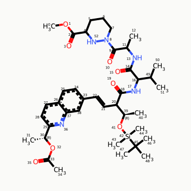 COC(=O)C1CCCN(C(=O)C(C)NC(=O)C(NC(=O)C(C=Cc2ccc3ccc([C@@H](C)OC(C)=O)nc3c2)[C@@H](C)O[Si](C)(C)C(C)(C)C)C(C)C)N1